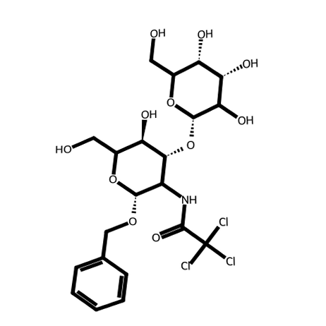 O=C(NC1[C@H](OCc2ccccc2)OC(CO)[C@@H](O)[C@@H]1O[C@@H]1OC(CO)[C@H](O)[C@H](O)C1O)C(Cl)(Cl)Cl